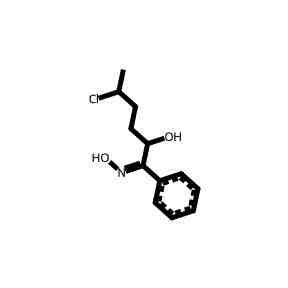 CC(Cl)CCC(O)C(=NO)c1ccccc1